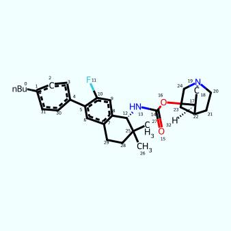 CCCCc1ccc(-c2cc3c(cc2F)[C@H](NC(=O)O[C@H]2CN4CCC2CC4)C(C)(C)CC3)cc1